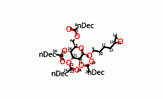 CCCCCCCCCCC(=O)OC[C@H]1O[C@@H](OCCCCC2CO2)[C@H](OC(=O)CCCCCCCCCC)[C@@H](OC(=O)CCCCCCCCCC)[C@@H]1OC(=O)CCCCCCCCCC